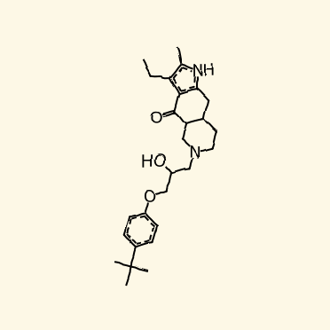 CCc1c(C)[nH]c2c1C(=O)C1CN(CC(O)COc3ccc(C(C)(C)C)cc3)CCC1C2